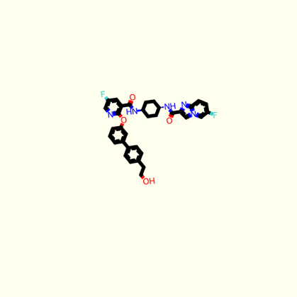 O=C(N[C@H]1CC[C@H](NC(=O)c2cc(F)cnc2Oc2cccc(-c3ccc(CCO)cc3)c2)CC1)c1cn2cc(F)ccc2n1